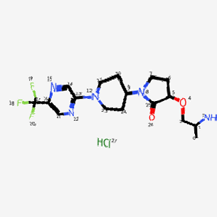 CC(N)COC1CCN(C2CCN(c3cnc(C(F)(F)F)cn3)CC2)C1=O.Cl